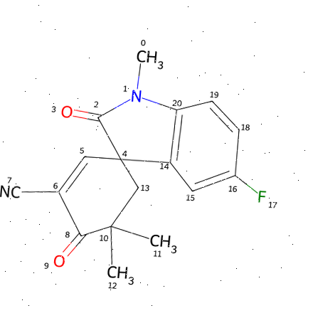 CN1C(=O)C2(C=C(C#N)C(=O)C(C)(C)C2)c2cc(F)ccc21